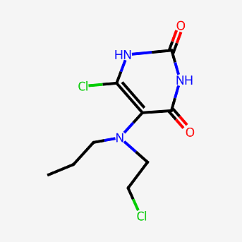 CCCN(CCCl)c1c(Cl)[nH]c(=O)[nH]c1=O